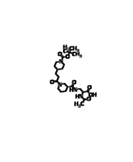 CC(=O)NC(CNC(=O)[C@H]1CCCN(C(=O)CCC2CCN(C(=O)OC(C)(C)C)CC2)C1)C(=O)O